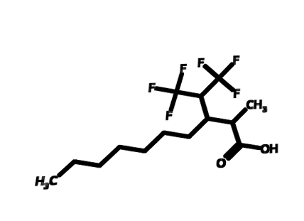 CCCCCCCC(C(C)C(=O)O)C(C(F)(F)F)C(F)(F)F